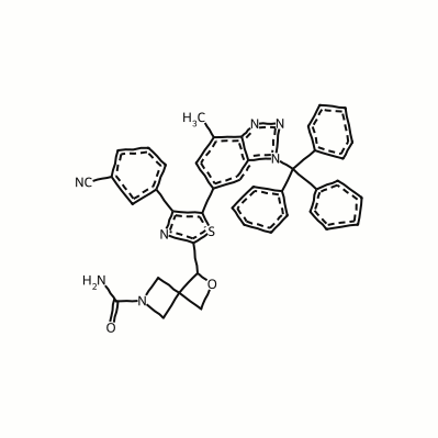 Cc1cc(-c2sc(C3OCC34CN(C(N)=O)C4)nc2-c2cccc(C#N)c2)cc2c1nnn2C(c1ccccc1)(c1ccccc1)c1ccccc1